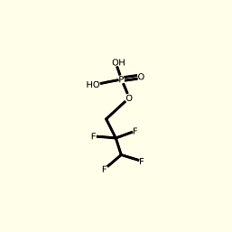 O=P(O)(O)OCC(F)(F)C(F)F